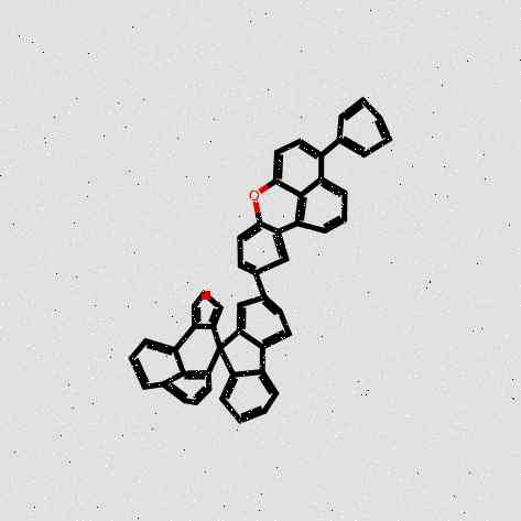 c1ccc(-c2ccc3c4c(cccc24)-c2cc(-c4ccc5c(c4)C4(c6ccccc6-5)c5ccccc5-c5cccc6cccc4c56)ccc2O3)cc1